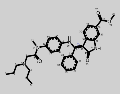 CCCN(CCC)CC(=O)N(C)c1ccc(N/C(=C2/C(=O)Nc3cc(C(=O)OC)ccc32)c2ccccc2)cc1